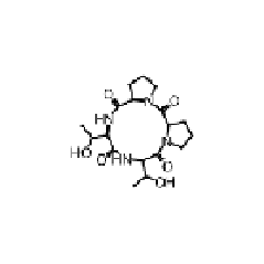 CC(O)C1NC(=O)C2CCCN2C(=O)C2CCCN2C(=O)C(C(C)O)NC1=O